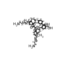 C[C@]12CC[C@H](Cc3ccc(CO)cc3)C[C@@]1(OC(=O)C(=O)O[C@]13CC[C@H](C=NOCCN)[C@@]1(C)CC[C@H](Cc1ccc(CO)cc1)C3)CC[C@@H]2C=NOCCN